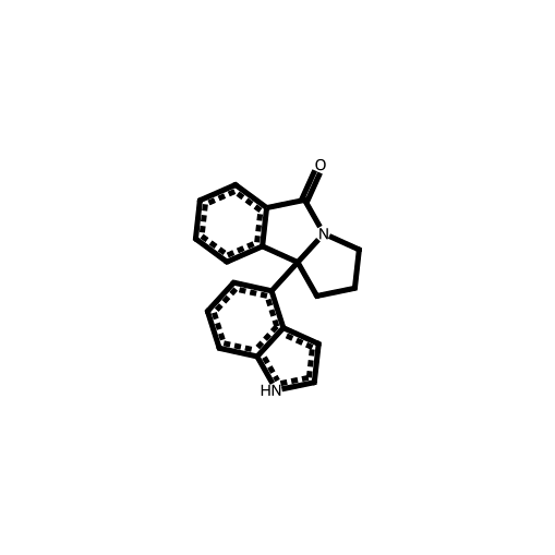 O=C1c2ccccc2C2(c3cccc4[nH]ccc34)CCCN12